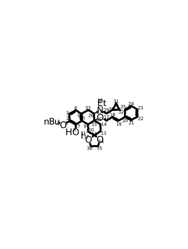 CCCCOc1ccc2c(c1O)C1[C@@H](I)C3(CC[C@@]1(OC/C=C/c1ccccc1)[C@H](N(CC)CC1CC1)C2)OCCO3